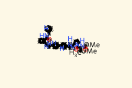 COC(=O)N[C@H](C(=O)N1CCCC1c1ncc(-c2ccc(-c3ccc(-c4cnc(C5C6CCC(C6)C5C(=O)NCc5cccnc5)[nH]4)cc3)nc2)[nH]1)[C@@H](C)OC